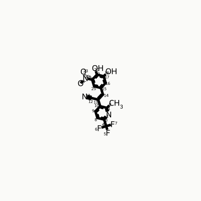 Cc1nc(C(F)(F)F)ccc1C(C#N)=Cc1cc(O)c(O)c([N+](=O)[O-])c1